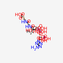 CC(C)(COP(=O)(O)OP(=O)(O)OC[C@H]1O[C@@H](n2cnc3c(N)ncnc32)[C@H](O)[C@@H]1OP(=O)(O)O)[C@@H](O)C(=O)NCCC(=O)NCCSC(=O)C(=O)O.O=CO